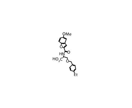 CCc1ccc(COCC(NC(=O)c2cc3cc(OC)ccc3o2)C(=O)O)cc1